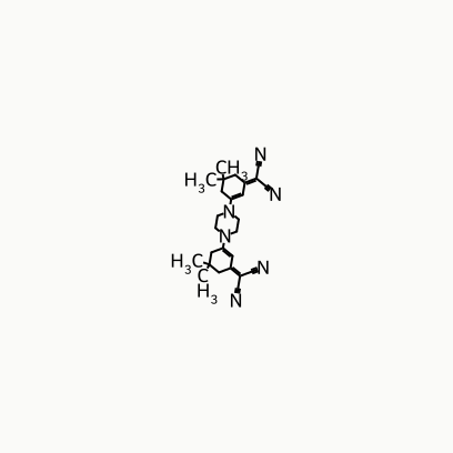 CC1(C)CC(N2CCN(C3=CC(=C(C#N)C#N)CC(C)(C)C3)CC2)=CC(=C(C#N)C#N)C1